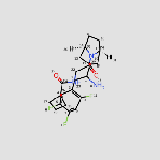 NC(Cc1cc(F)c(F)cc1F)C1C[C@H]2CC[C@@H](C1)N2C(=O)CNC(=O)C1CCC1